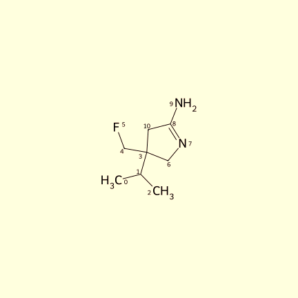 CC(C)C1(CF)CN=C(N)C1